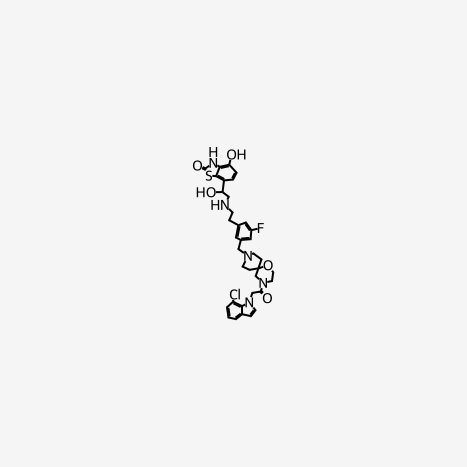 O=C(Cn1ccc2cccc(Cl)c21)N1CCOC2(CCN(Cc3cc(F)cc(CCNCC(O)c4ccc(O)c5[nH]c(=O)sc45)c3)CC2)C1